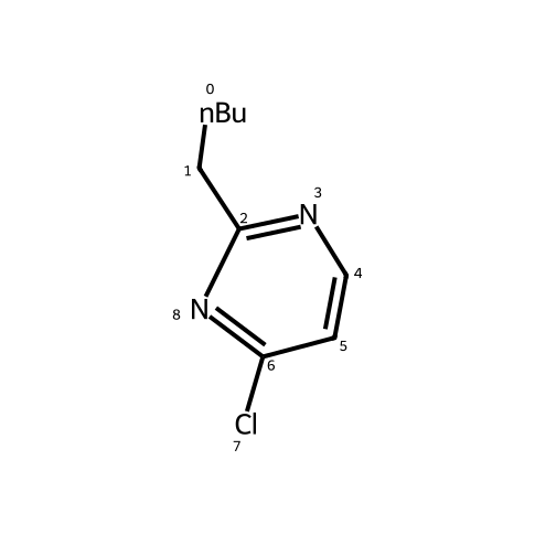 CCCCCc1nccc(Cl)n1